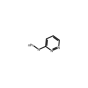 CCC[N]c1cccnn1